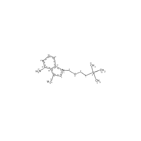 Cc1cn(COCC[Si](C)(C)C)c2ccnc(N)c12